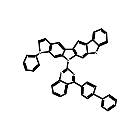 c1ccc(-c2ccc(-c3nc(-n4c5cc6sc7ccccc7c6cc5c5cc6ccn(-c7ccccc7)c6cc54)nc4ccccc34)cc2)cc1